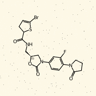 O=C(NC[C@H]1CN(c2ccc(N3CCCC3=O)c(F)c2)C(=O)O1)C1CC=C(Br)S1